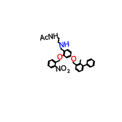 CC(=O)NCCNCc1ccc(OCc2cccc(-c3ccccc3)c2C)cc1OCc1ccccc1[N+](=O)[O-]